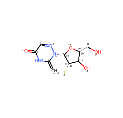 C=C1NC(=O)C=NN1[C@@H]1O[C@H](CO)C(O)[C@@H]1F